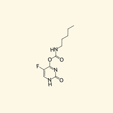 CCCCCNC(=O)Oc1nc(=O)[nH]cc1F